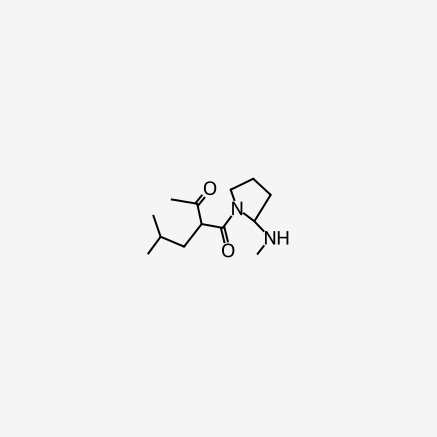 CNC1CCCN1C(=O)C(CC(C)C)C(C)=O